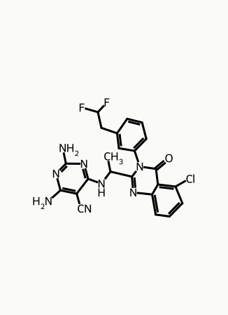 CC(Nc1nc(N)nc(N)c1C#N)c1nc2cccc(Cl)c2c(=O)n1-c1cccc(CC(F)F)c1